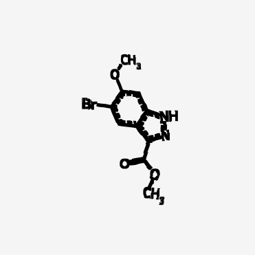 COC(=O)c1n[nH]c2cc(OC)c(Br)cc12